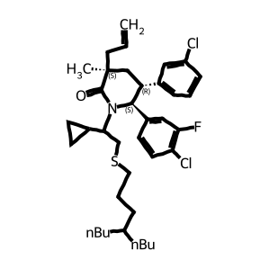 C=CC[C@@]1(C)C[C@H](c2cccc(Cl)c2)[C@@H](c2ccc(Cl)c(F)c2)N(C(CSCCCC(CCCC)CCCC)C2CC2)C1=O